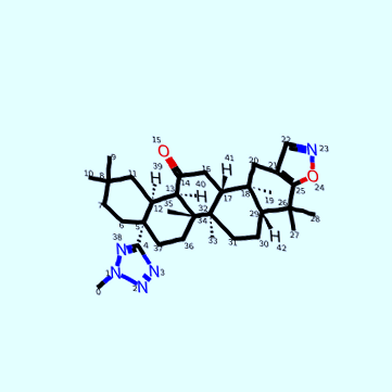 Cn1nnc([C@]23CCC(C)(C)C[C@H]2[C@H]2C(=O)C[C@@H]4[C@@]5(C)Cc6cnoc6C(C)(C)[C@@H]5CC[C@@]4(C)[C@]2(C)CC3)n1